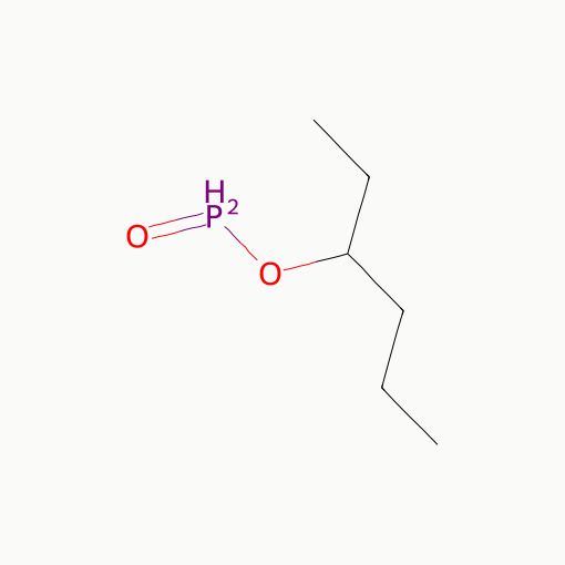 CCCC(CC)O[PH2]=O